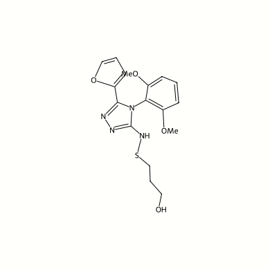 COc1cccc(OC)c1-n1c(NSCCCO)nnc1-c1ccco1